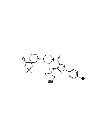 CC(C)(C)OC(=O)Nc1sc(-c2ccc(N)cc2)cc1C(=O)N1CCC(N2CCCC3(C2)CC(C)(C)OC3=O)CC1